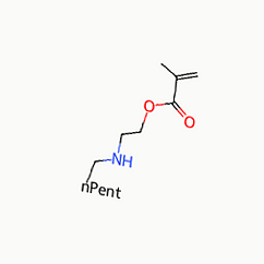 C=C(C)C(=O)OCCNCCCCCC